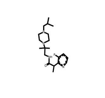 CC(C)CN1CCN(C(C)(C)CNC(=O)C(C)c2ncccc2F)CC1